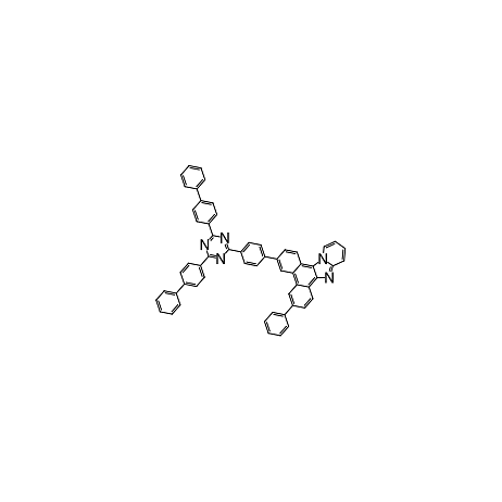 c1ccc(-c2ccc(-c3nc(-c4ccc(-c5ccccc5)cc4)nc(-c4ccc(-c5ccc6c(c5)c5cc(-c7ccccc7)ccc5c5nc7ccccn7c65)cc4)n3)cc2)cc1